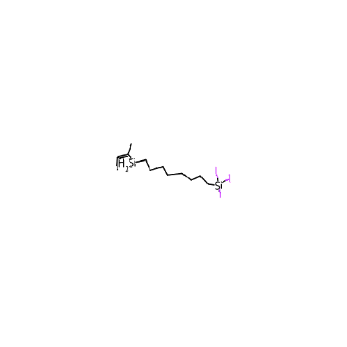 CC=C(C)[SiH2]CCCCCCCC[Si](I)(I)I